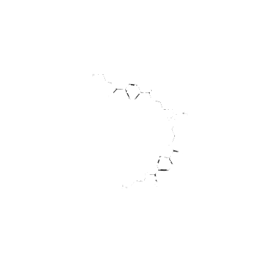 O=C(OCCO)c1ccc(C(=O)OCCOP(=O)(O)OCCOC(=O)c2ccc(C(=O)OCCO)cc2)cc1